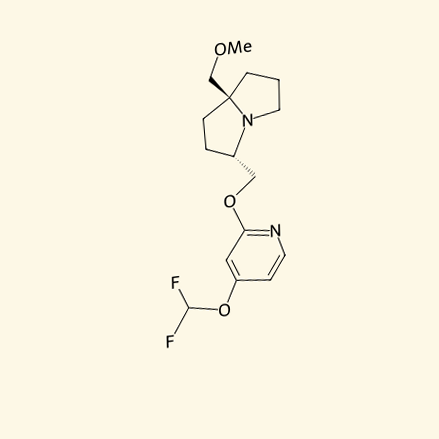 COC[C@@]12CCCN1[C@H](COc1cc(OC(F)F)ccn1)CC2